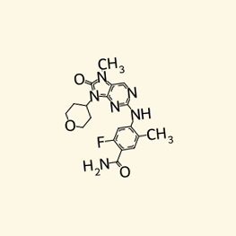 Cc1cc(C(N)=O)c(F)cc1Nc1ncc2c(n1)n(C1CCOCC1)c(=O)n2C